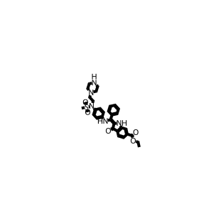 CCOC(=O)c1ccc2c(c1)NC(=C(Nc1ccc(N(CCN3CCNCC3)S(C)(=O)=O)cc1)c1ccccc1)C2=O